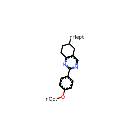 CCCCCCCCOc1ccc(-c2ncc3c(n2)CCC(CCCCCCC)C3)cc1